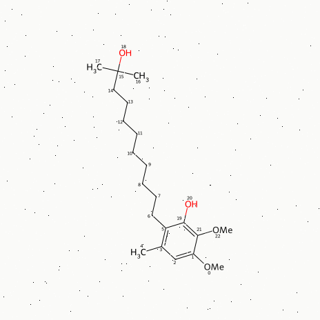 COc1cc(C)c(CCCCCCCCCC(C)(C)O)c(O)c1OC